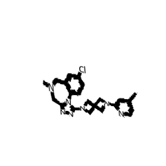 Cc1ccnc(N2CC3(C2)CN(c2nnc4n2-c2ccc(Cl)cc2CN(C)C4)C3)c1